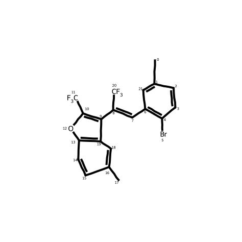 Cc1ccc(Br)c(C=C(c2c(C(F)(F)F)oc3ccc(C)cc23)C(F)(F)F)c1